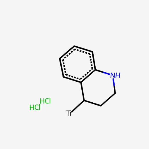 Cl.Cl.[Ti][CH]1CCNc2ccccc21